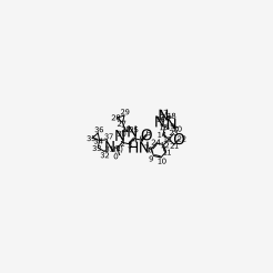 C[C@H](c1cc(C(=O)Nc2cccc(C3(Cc4nncn4C)COC3)c2)nc(C2CC2)n1)N1CCC2(CC2)C1